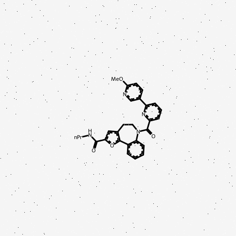 CCCNC(=O)c1cc2c(o1)-c1ccccc1N(C(=O)c1cccc(-c3ccc(OC)nc3)n1)CC2